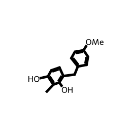 COc1ccc(Cc2ccc(O)c(C)c2O)cc1